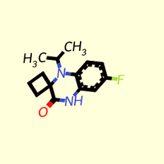 CC(C)N1c2ccc(F)cc2NC(=O)C12CCC2